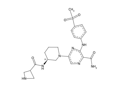 CS(=O)(=O)c1ccc(Nc2nc(N3CCC[C@H](NC(=O)C4CNC4)C3)cnc2C(N)=O)cc1